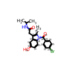 Cc1c(CC(=O)NC(C)C)c2cc(O)ccc2n1C(=O)c1ccc(Br)cc1